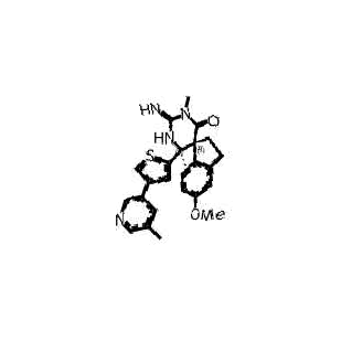 COc1ccc2c(c1)CC[C@@]21C(=O)N(C)C(=N)N[C@]1(C)c1cc(-c2cncc(C)c2)cs1